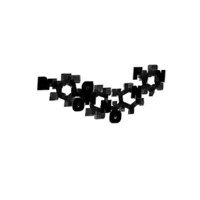 O=C(C1CCN(c2ccncc2F)CC1)N1CCN(S(=O)(=O)c2ccc(Br)cc2)CC1